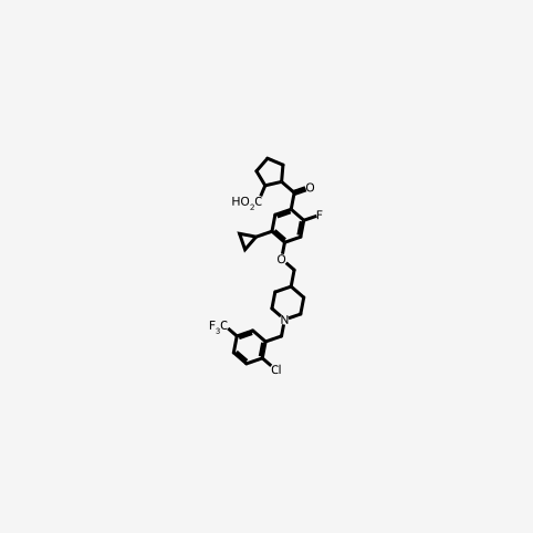 O=C(O)C1CCCC1C(=O)c1cc(C2CC2)c(OCC2CCN(Cc3cc(C(F)(F)F)ccc3Cl)CC2)cc1F